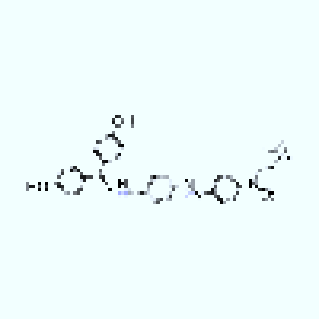 CCN(CC[N+](C)(C)C)c1ccc(/N=N/c2ccc(/C=N/N=C(c3ccc(O)cc3)c3ccc(O)cc3)cc2)cc1